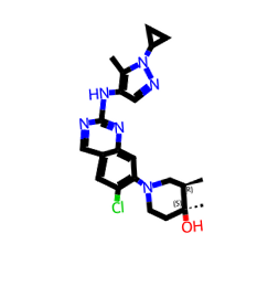 Cc1c(Nc2ncc3cc(Cl)c(N4CC[C@](C)(O)[C@H](C)C4)cc3n2)cnn1C1CC1